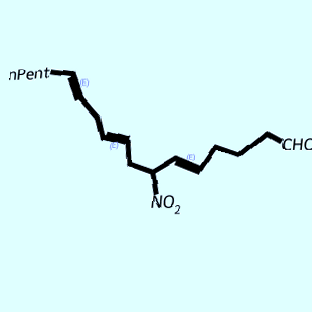 CCCCC/C=C/C/C=C/CC(/C=C/CCC[C]=O)[N+](=O)[O-]